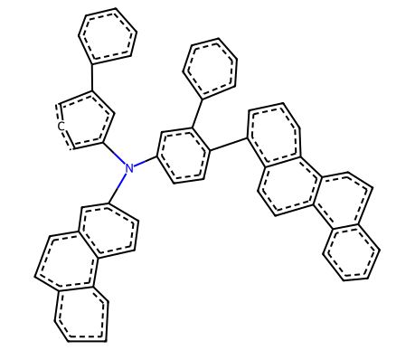 c1ccc(-c2cccc(N(c3ccc(-c4cccc5c4ccc4c6ccccc6ccc54)c(-c4ccccc4)c3)c3ccc4c(ccc5ccccc54)c3)c2)cc1